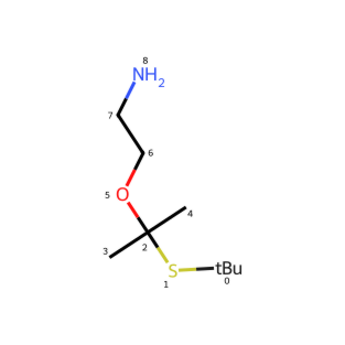 CC(C)(C)SC(C)(C)OCCN